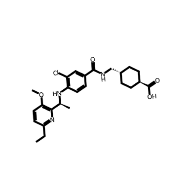 CCc1ccc(OC)c([C@H](C)Nc2ccc(C(=O)NC[C@H]3CC[C@H](C(=O)O)CC3)cc2Cl)n1